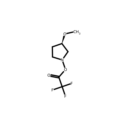 CO[C@@H]1CCN(OC(=O)C(F)(F)F)C1